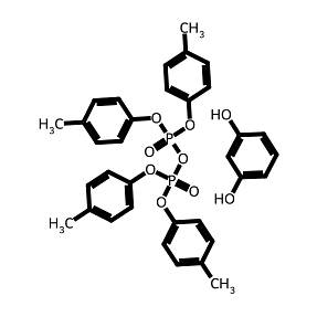 Cc1ccc(OP(=O)(Oc2ccc(C)cc2)OP(=O)(Oc2ccc(C)cc2)Oc2ccc(C)cc2)cc1.Oc1cccc(O)c1